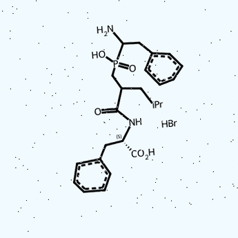 Br.CC(C)CC(CP(=O)(O)C(N)Cc1ccccc1)C(=O)N[C@@H](Cc1ccccc1)C(=O)O